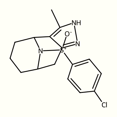 Cc1[nH]nc2c1C1CCCC(C2)N1[S+]([O-])c1ccc(Cl)cc1